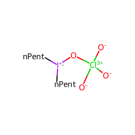 CCCCC[I+](CCCCC)O[Cl+3]([O-])([O-])[O-]